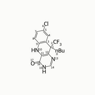 CCCCC1(C(F)(F)F)c2cc(Cl)ccc2Nc2c1nc[nH]c2=O